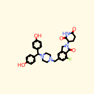 O=C1CCC(N2Cc3cc(CN4CCN(C(c5ccc(O)cc5)c5ccc(O)cc5)CC4)cc(F)c3C2=O)C(=O)N1